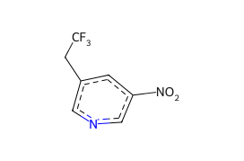 O=[N+]([O-])c1cncc(CC(F)(F)F)c1